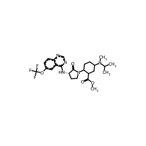 COC(=O)C1CC(N(C)C(C)C)CCC1N1CC[C@H](Nc2ncnc3ccc(OC(F)(F)F)cc23)C1=O